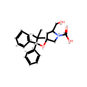 CC(C)(C)[Si](OC1CC(CO)N(C(=O)O)C1)(c1ccccc1)c1ccccc1